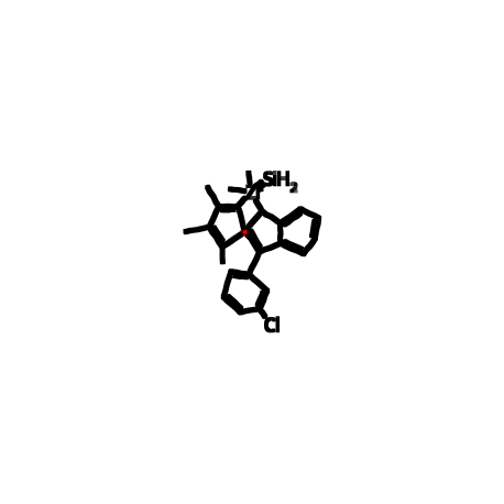 CC1=C(C)C(C)[C]([Zr]([CH3])([CH3])(=[SiH2])[CH]2C=C(c3cccc(Cl)c3)c3ccccc32)=C1C